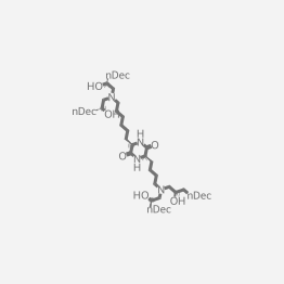 CCCCCCCCCCC[C@@H](O)CN(CCCC[C@H]1NC(=O)[C@@H](CCCCCCN(C[C@H](O)CCCCCCCCCC)C[C@H](O)CCCCCCCCCC)NC1=O)C[C@H](O)CCCCCCCCCC